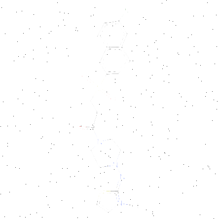 Cn1ccs/c1=N\N1CCN(C(=O)CCS(=O)(=O)c2ccc3cc(Cl)ccc3c2)CC1